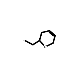 [CH2]CC1CC=CCO1